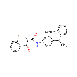 CC(=O)Nc1ccccc1C(C)c1ccc(NC(=O)C2CSc3ccccc3C2=O)cc1